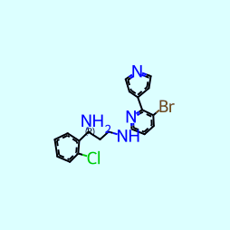 N[C@H](CCNc1ccc(Br)c(-c2ccncc2)n1)c1ccccc1Cl